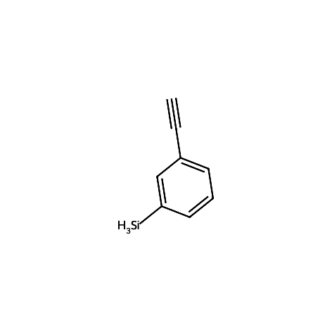 C#Cc1cccc([SiH3])c1